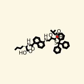 CCCC[C@H](NC(=O)c1cccc2c(NCC(OC(C)(C)C)C(NC=O)SC(c3ccccc3)(c3ccccc3)c3ccccc3)cccc12)C(=O)O